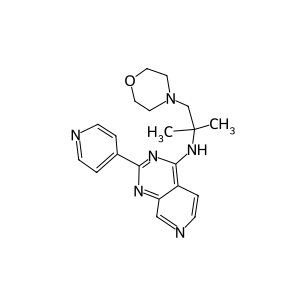 CC(C)(CN1CCOCC1)Nc1nc(-c2ccncc2)nc2cnccc12